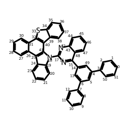 c1ccc(-c2cc(-c3ccccc3)cc(-c3nc(-n4c5ccccc5c5c6ccccc6c6sc7ccccc7c6c54)nc4ccccc34)c2)cc1